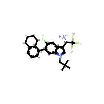 CC(C)(C)Cn1cc([C@H](N)C(F)(F)F)c2cc(F)c(-c3cccc4c3CCCC4)cc21